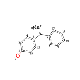 [Na+].[O-]c1ccc(Cc2ccccc2)cc1